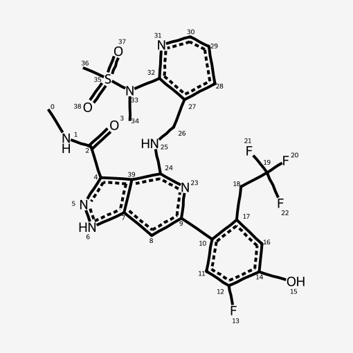 CNC(=O)c1n[nH]c2cc(-c3cc(F)c(O)cc3CC(F)(F)F)nc(NCc3cccnc3N(C)S(C)(=O)=O)c12